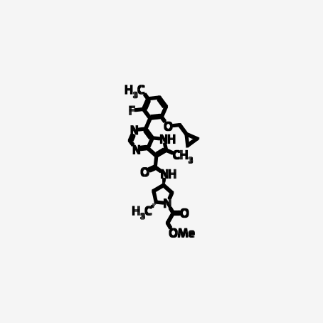 COCC(=O)N1C[C@H](NC(=O)c2c(C)[nH]c3c(-c4c(OCC5CC5)ccc(C)c4F)ncnc23)C[C@H]1C